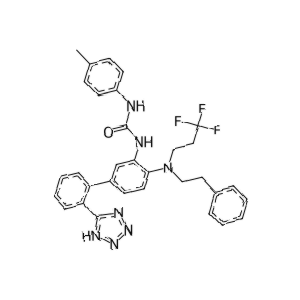 Cc1ccc(NC(=O)Nc2cc(-c3ccccc3-c3nnn[nH]3)ccc2N(CCc2ccccc2)CCC(F)(F)F)cc1